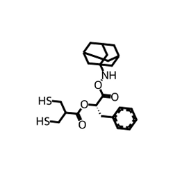 O=C(O[C@@H](Cc1ccccc1)C(=O)ONC12CC3CC(CC(C3)C1)C2)C(CS)CS